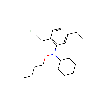 CCCCON(c1cc(CC)ccc1CC)C1CCCCC1.Cl